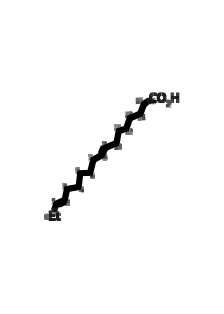 CCC=CCCCCCC=CCCCCCCC(=O)O